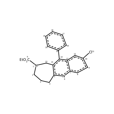 CCOC(=O)N1CCCc2nc3ccc(Cl)cc3c(-c3ccccc3)c2C1